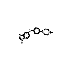 CN1CCN(c2ccc(Sc3ccc4[nH]cnc4c3)cc2)CC1